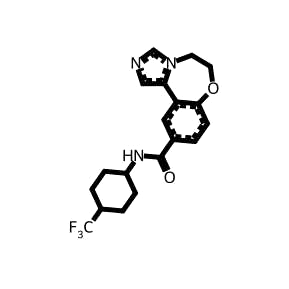 O=C(NC1CCC(C(F)(F)F)CC1)c1ccc2c(c1)-c1cncn1CCO2